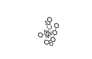 C1=CC(c2nc(-c3ccccc3)nc(-c3c(-c4ccc(-c5ccccc5)cc4)ccc4oc5ccccc5c34)n2)Cc2sc3ccccc3c21